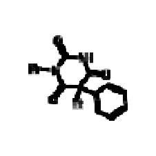 CCC1(c2ccccc2)C(=O)NC(=O)N(C(C)C)C1=O